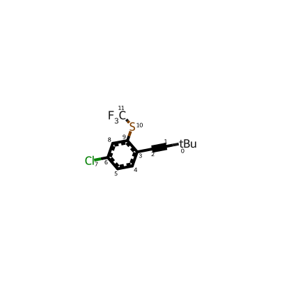 CC(C)(C)C#Cc1ccc(Cl)cc1SC(F)(F)F